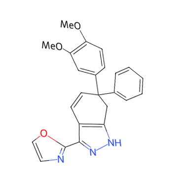 COc1ccc(C2(c3ccccc3)C=Cc3c(-c4ncco4)n[nH]c3C2)cc1OC